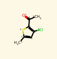 CC(=O)c1sc(C)cc1Cl